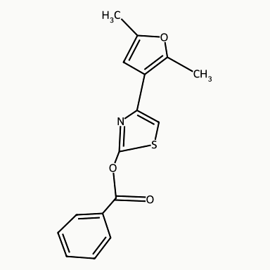 Cc1cc(-c2csc(OC(=O)c3ccccc3)n2)c(C)o1